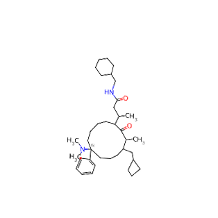 CC(CC(=O)NCC1CCCCC1)C1CCCC[C@](c2ccccc2)(N(C)C)CCCC(CC2CCC2)C(C)C1=O